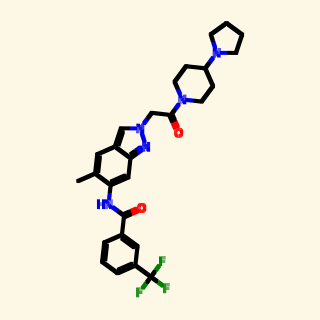 Cc1cc2cn(CC(=O)N3CCC(N4CCCC4)CC3)nc2cc1NC(=O)c1cccc(C(F)(F)F)c1